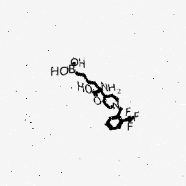 NC(CCCCB(O)O)(C(=O)O)C1CCN(Cc2ccccc2C(F)(F)F)CC1